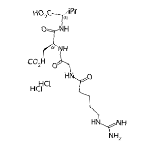 CC(C)[C@H](NC(=O)[C@H](CC(=O)O)NC(=O)CNC(=O)CCCCNC(=N)N)C(=O)O.Cl.Cl